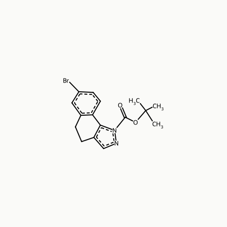 CC(C)(C)OC(=O)n1ncc2c1-c1ccc(Br)cc1CC2